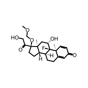 COCO[C@]1(C(=O)CO)CC[C@H]2[C@@H]3CCC4=CC(=O)C=C[C@]4(C)[C@@]3(F)[C@@H](O)C[C@@]21C